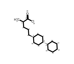 CC(CCC[C@H]1CC[C@H](C2CCCCC2)CC1)C(=O)Cl